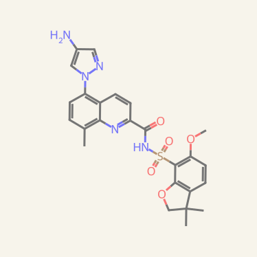 COc1ccc2c(c1S(=O)(=O)NC(=O)c1ccc3c(-n4cc(N)cn4)ccc(C)c3n1)OCC2(C)C